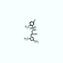 Cc1ccc(F)cc1S(=O)(=O)NC[C@H](O)CN1CC(C)CC1C